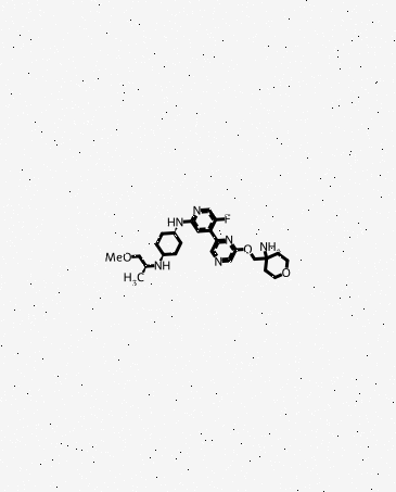 COC[C@H](C)N[C@H]1CC[C@H](Nc2cc(-c3cncc(OCC4(N)CCOCC4)n3)c(F)cn2)CC1